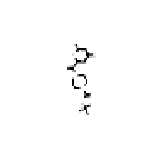 CC(C)(C)OC(=O)N1CCN(C(=O)c2cc(Cl)cc(Cl)n2)CC1